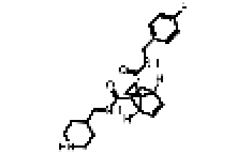 O=C(NCC1CCNCC1)[C@H]1[C@H](C(=O)NCc2ccc(Br)cc2)[C@@H]2C=C[C@H]1C21CC1